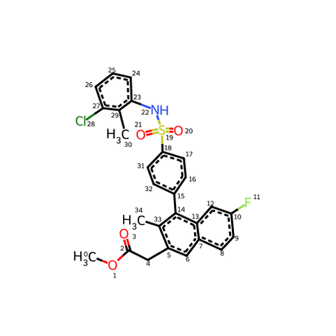 COC(=O)Cc1cc2ccc(F)cc2c(-c2ccc(S(=O)(=O)Nc3cccc(Cl)c3C)cc2)c1C